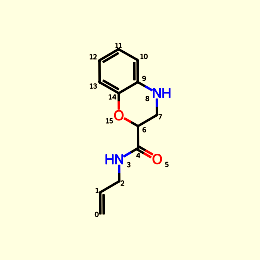 C=CCNC(=O)C1CNc2ccccc2O1